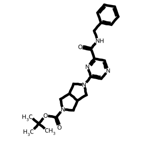 CC(C)(C)OC(=O)N1CC2CN(c3cncc(C(=O)NCc4ccccc4)n3)CC2C1